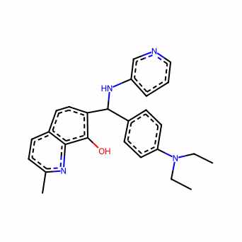 CCN(CC)c1ccc(C(Nc2cccnc2)c2ccc3ccc(C)nc3c2O)cc1